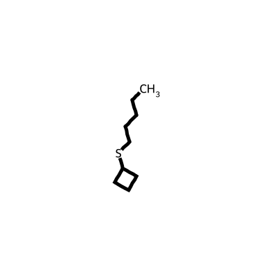 CCCCCS[C]1CCC1